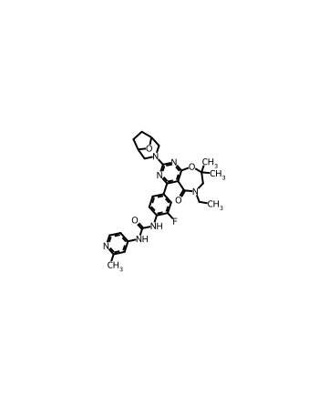 CCN1CC(C)(C)Oc2nc(N3CC4CCC(C3)O4)nc(-c3ccc(NC(=O)Nc4ccnc(C)c4)c(F)c3)c2C1=O